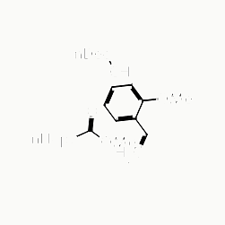 C=Cc1ccccc1OC.CCCCCCCC(=O)OC.CCCCCCCCCCC